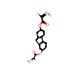 C=C(F)C(=O)Oc1ccc2c(c1)Cc1cc(OC(=O)C(=C)F)ccc1-2